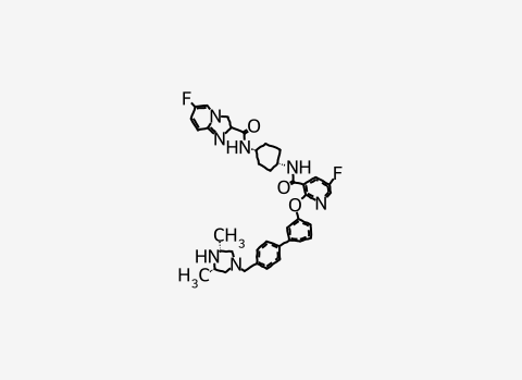 C[C@@H]1CN(Cc2ccc(-c3cccc(Oc4ncc(F)cc4C(=O)N[C@H]4CC[C@@H](NC(=O)C5CN6C=C(F)C=CC6=N5)CC4)c3)cc2)C[C@H](C)N1